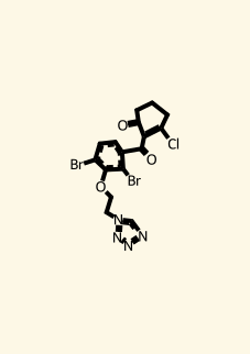 O=C1CCCC(Cl)=C1C(=O)c1ccc(Br)c(OCCn2cnnn2)c1Br